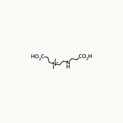 C[N+](C)(CCNCCC(=O)O)CCC(=O)O